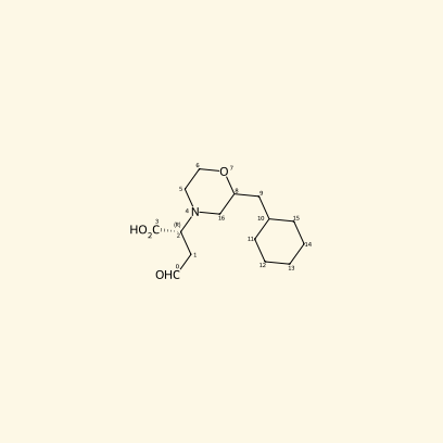 O=CC[C@H](C(=O)O)N1CCOC(CC2CCCCC2)C1